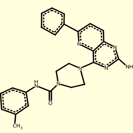 Cc1cccc(NC(=O)N2CCN(c3nc(N)nc4ccc(-c5ccccc5)nc34)CC2)c1